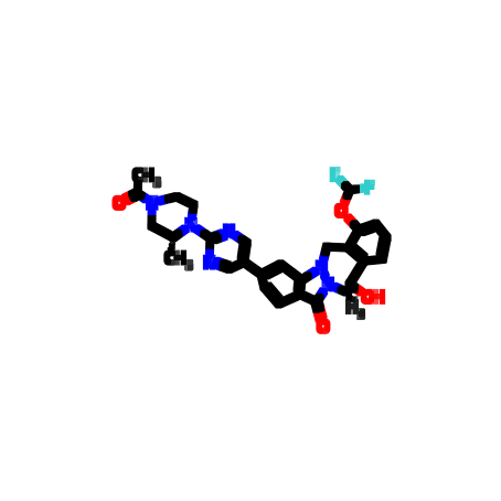 CC(=O)N1CCN(c2ncc(-c3ccc4c(=O)n(C)n(Cc5c(CO)cccc5OC(F)F)c4c3)cn2)[C@H](C)C1